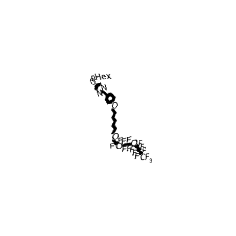 CCCCCCOc1cnc(-c2ccc(OCCCCCCCOCC(F)(F)OC(F)(F)C(F)(F)OC(F)(F)C(F)(F)C(F)(F)C(F)(F)F)cc2)nc1